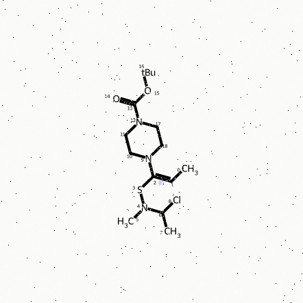 C/C=C(/SN(C)C(C)Cl)N1CCN(C(=O)OC(C)(C)C)CC1